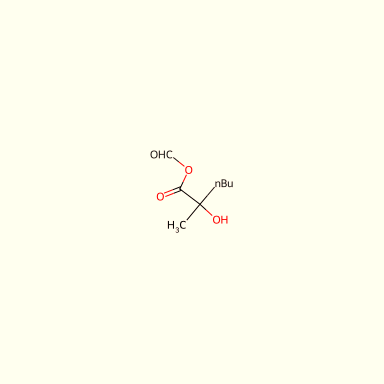 CCCCC(C)(O)C(=O)OC=O